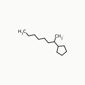 [CH2]C(CCCCCC)C1CCCC1